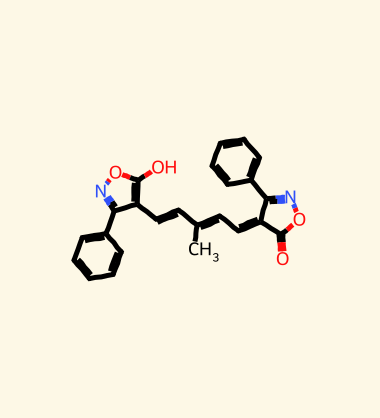 CC(/C=C/c1c(-c2ccccc2)noc1O)=C\C=C1\C(=O)ON=C1c1ccccc1